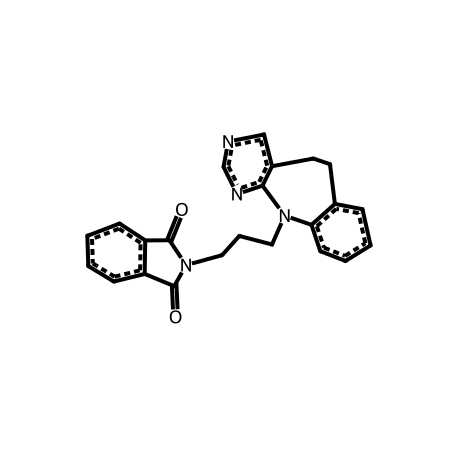 O=C1c2ccccc2C(=O)N1CCCN1c2ccccc2CCc2cncnc21